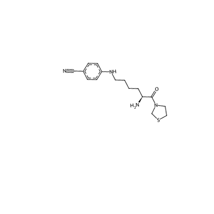 N#Cc1ccc(NCCCC[C@H](N)C(=O)N2CCSC2)cc1